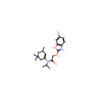 CC1C=C(N(C(=O)COc2nc3ccc(Cl)cc3o2)C(C)C)CC(C)(C)C1